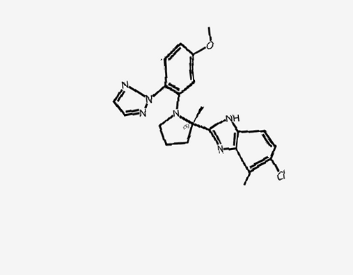 COc1c[c]c(-n2nccn2)c(N2CCC[C@@]2(C)c2nc3c(C)c(Cl)ccc3[nH]2)c1